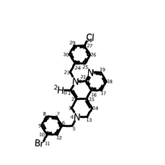 [2H]C1=C2CN(Cc3cccc(Br)c3)CC=C2c2cccnc2N1Cc1ccc(Cl)cc1